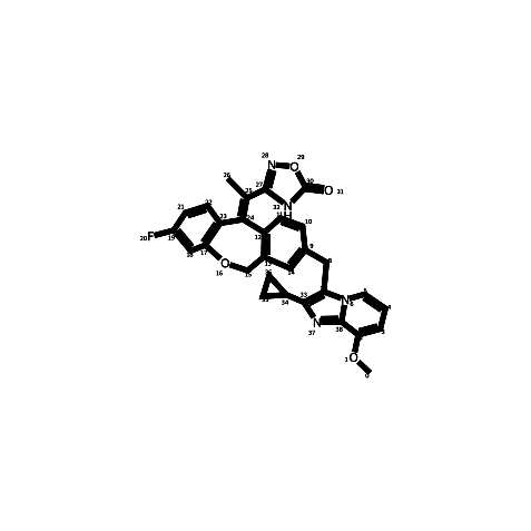 COc1cccn2c(Cc3ccc4c(c3)COc3cc(F)ccc3/C4=C(\C)c3noc(=O)[nH]3)c(C3CC3)nc12